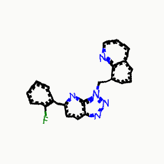 Fc1ccccc1-c1ccc2nnn(Cc3cccc4cccnc34)c2n1